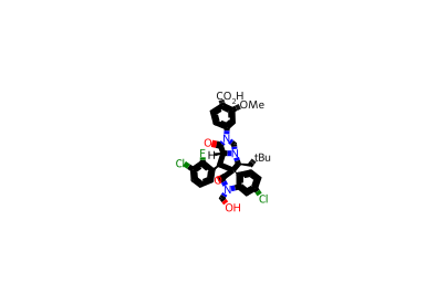 COc1cc(N2CN3[C@@H](CC(C)(C)C)[C@@]4(C(=O)N(CO)c5cc(Cl)ccc54)[C@@H](c4cccc(Cl)c4F)[C@@H]3C2=O)ccc1C(=O)O